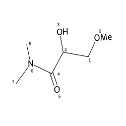 COCC(O)C(=O)N(C)C